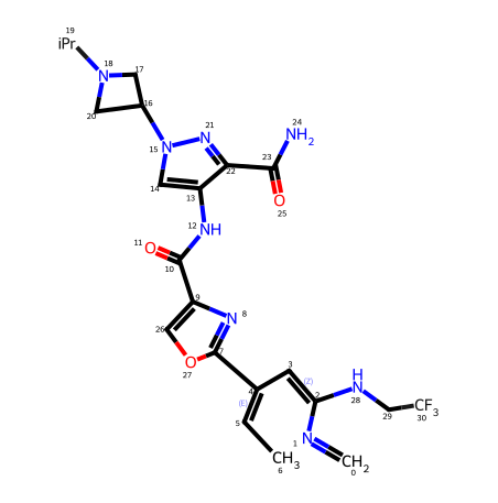 C=N/C(=C\C(=C/C)c1nc(C(=O)Nc2cn(C3CN(C(C)C)C3)nc2C(N)=O)co1)NCC(F)(F)F